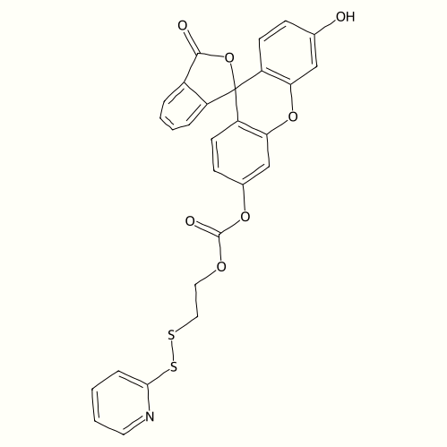 O=C(OCCSSc1ccccn1)Oc1ccc2c(c1)Oc1cc(O)ccc1C21OC(=O)c2ccccc21